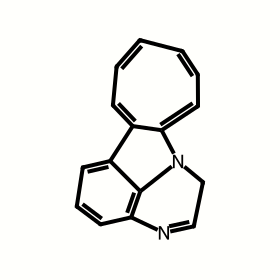 C1=Nc2cccc3c4/c(n(c23)C1)=C\C=C/C=C\C=4